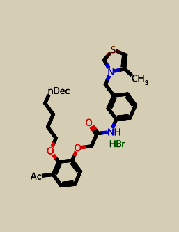 Br.CCCCCCCCCCCCCCOc1c(OCC(=O)Nc2cccc(CN3CSC=C3C)c2)cccc1C(C)=O